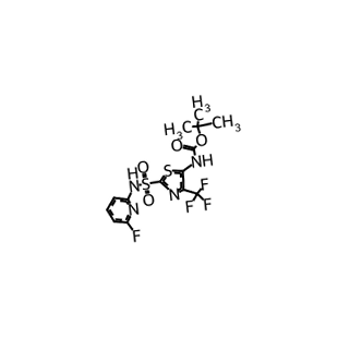 CC(C)(C)OC(=O)Nc1sc(S(=O)(=O)Nc2cccc(F)n2)nc1C(F)(F)F